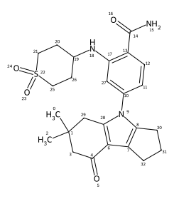 CC1(C)CC(=O)c2c3c(n(-c4ccc(C(N)=O)c(NC5CCS(=O)(=O)CC5)c4)c2C1)CCC3